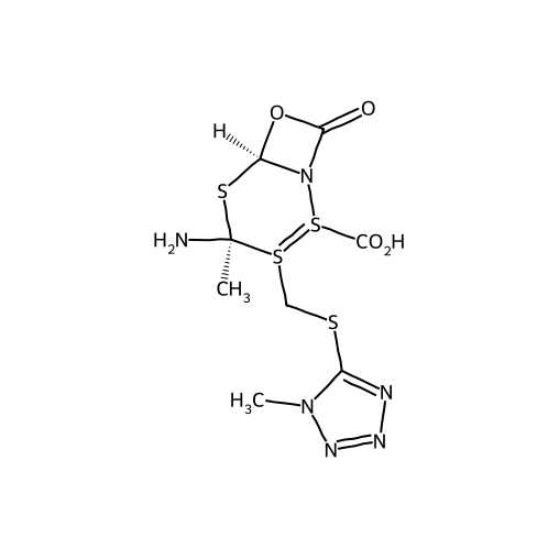 Cn1nnnc1SCS1=S(C(=O)O)N2C(=O)O[C@@H]2S[C@]1(C)N